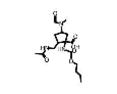 CCCCOC(=O)NC1(C(=O)O)CC(N(C)C=O)CC1CNC(C)=O